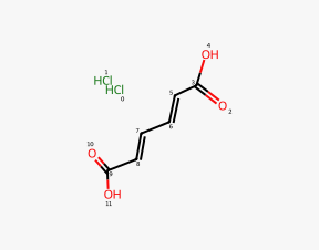 Cl.Cl.O=C(O)C=CC=CC(=O)O